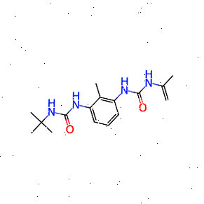 C=C(C)NC(=O)Nc1cccc(NC(=O)NC(C)(C)C)c1C